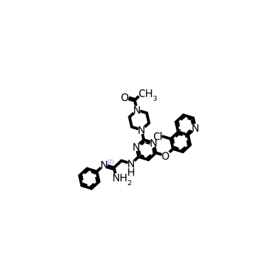 CC(=O)N1CCN(c2nc(NC/C(N)=N/c3ccccc3)cc(Oc3ccc4ncccc4c3Cl)n2)CC1